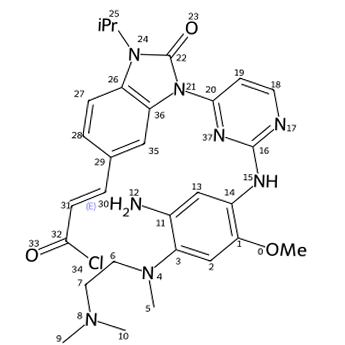 COc1cc(N(C)CCN(C)C)c(N)cc1Nc1nccc(-n2c(=O)n(C(C)C)c3ccc(/C=C/C(=O)Cl)cc32)n1